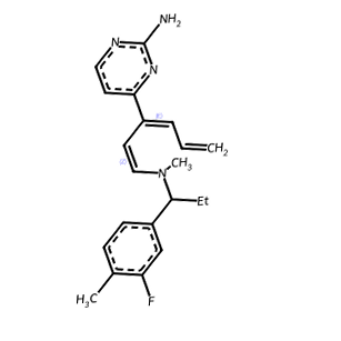 C=C/C=C(\C=C/N(C)C(CC)c1ccc(C)c(F)c1)c1ccnc(N)n1